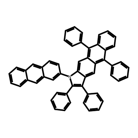 c1ccc(-c2c3ccccc3c(-c3ccccc3)c3cc4c(cc23)c(-c2ccccc2)c(-c2ccccc2)n4-c2ccc3cc4ccccc4cc3c2)cc1